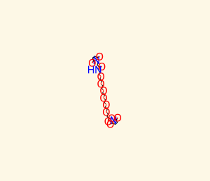 O=C(CCN1C(=O)C=CC1=O)NCCOCCOCCOCCOCCOCCOCCC(=O)ON1C(=O)CCC1=O